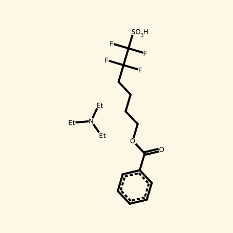 CCN(CC)CC.O=C(OCCCCC(F)(F)C(F)(F)S(=O)(=O)O)c1ccccc1